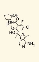 Cc1nc(C(C)(O)c2cc(Cl)c(F)c(C(=O)N[C@H]3CCC[C@H]3O)c2OC(C)C)n2ccnc(N)c12